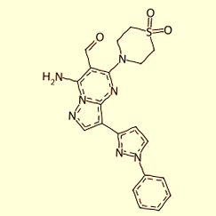 Nc1c(C=O)c(N2CCS(=O)(=O)CC2)nc2c(-c3ccn(-c4ccccc4)n3)cnn12